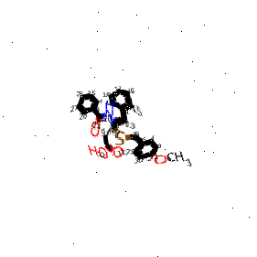 COc1ccc(CS[C@](CC(=O)O)(Cc2ccccc2)NC(=O)c2ccccc2)cc1